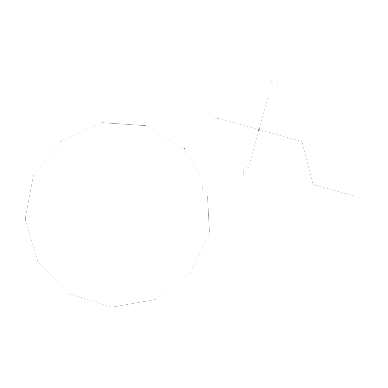 [CH2]CCC(Cl)(Cl)C[C]1CCCCCCCCCCCO1